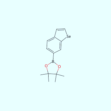 CC1(C)OB(c2ccc3cc[se]c3c2)OC1(C)C